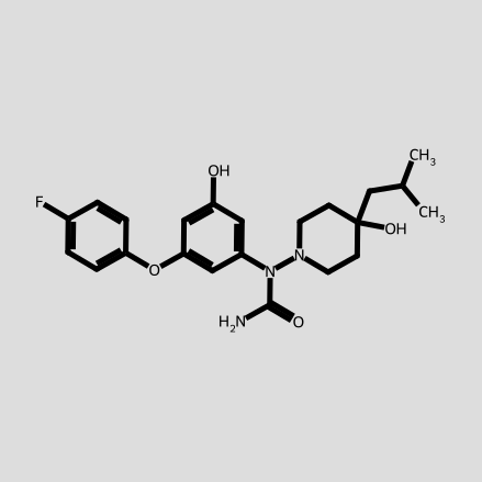 CC(C)CC1(O)CCN(N(C(N)=O)c2cc(O)cc(Oc3ccc(F)cc3)c2)CC1